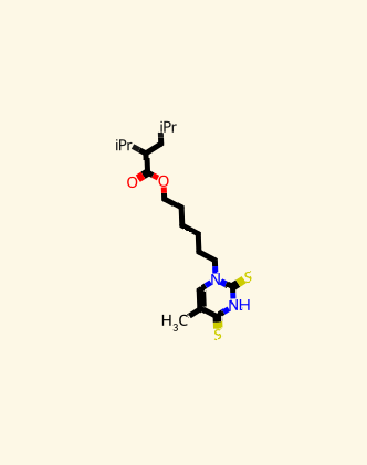 Cc1cn(CCCCCCOC(=O)C(CC(C)C)C(C)C)c(=S)[nH]c1=S